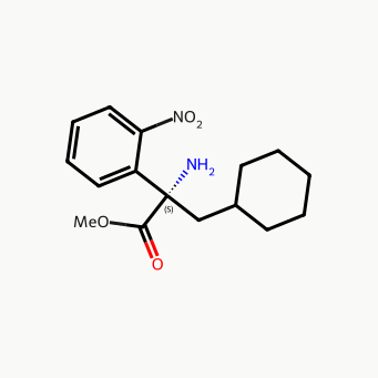 COC(=O)[C@](N)(CC1CCCCC1)c1ccccc1[N+](=O)[O-]